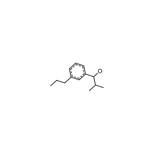 CCCc1cccc(C([O])C(C)C)c1